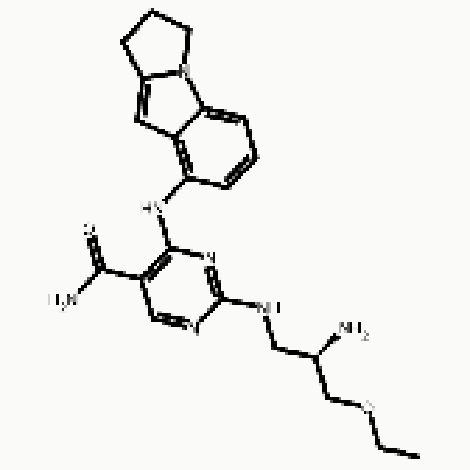 CCOC[C@H](N)CNc1ncc(C(N)=O)c(Nc2cccc3c2cc2n3CCC2)n1